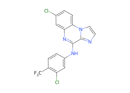 FC(F)(F)c1ccc(Nc2nc3cc(Cl)ccc3n3ccnc23)cc1Cl